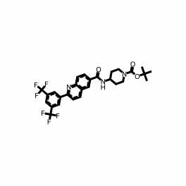 CC(C)(C)OC(=O)N1CCC(NC(=O)c2ccc3nc(-c4cc(C(F)(F)F)cc(C(F)(F)F)c4)ccc3c2)CC1